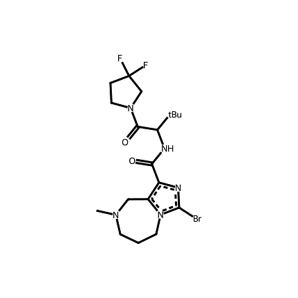 CN1CCCn2c(Br)nc(C(=O)NC(C(=O)N3CCC(F)(F)C3)C(C)(C)C)c2C1